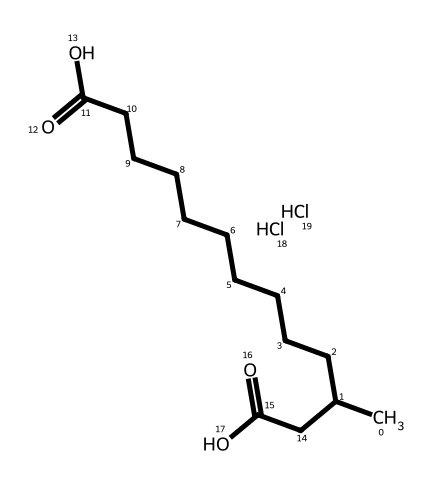 CC(CCCCCCCCCC(=O)O)CC(=O)O.Cl.Cl